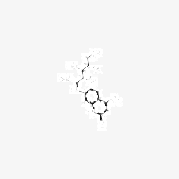 O=C[C@@H](Nc1ccc2c(C(F)(F)F)cc(=O)[nH]c2c1)[C@H](O)[C@@H](O)[C@@H](O)CO